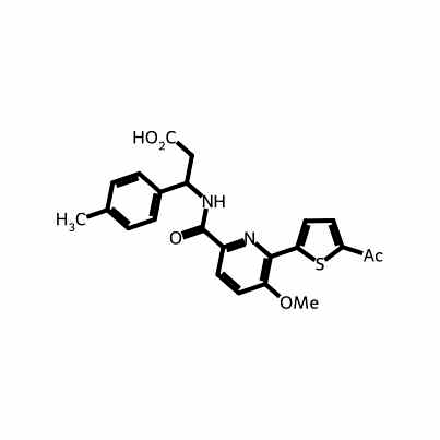 COc1ccc(C(=O)NC(CC(=O)O)c2ccc(C)cc2)nc1-c1ccc(C(C)=O)s1